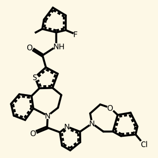 Cc1cccc(F)c1NC(=O)c1cc2c(s1)-c1ccccc1N(C(=O)c1cccc(N3CCOc4ccc(Cl)cc4C3)n1)CC2